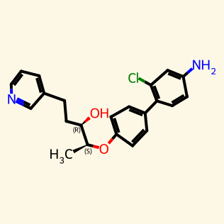 C[C@H](Oc1ccc(-c2ccc(N)cc2Cl)cc1)[C@H](O)CCc1cccnc1